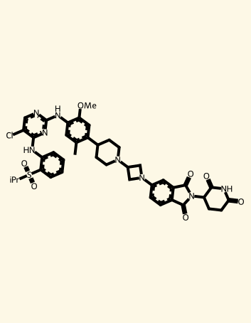 COc1cc(C2CCN(C3CN(c4ccc5c(c4)C(=O)N(C4CCC(=O)NC4=O)C5=O)C3)CC2)c(C)cc1Nc1ncc(Cl)c(Nc2ccccc2S(=O)(=O)C(C)C)n1